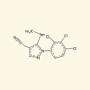 CNc1c(C#N)cnn1-c1ccc(Cl)c(Cl)c1Cl